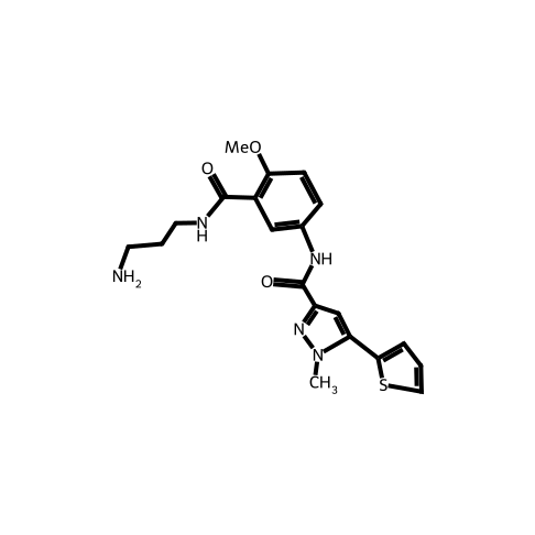 COc1ccc(NC(=O)c2cc(-c3cccs3)n(C)n2)cc1C(=O)NCCCN